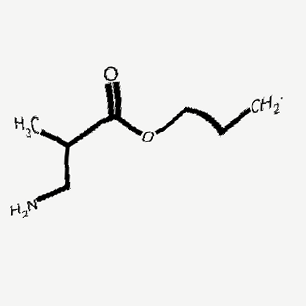 [CH2]CCOC(=O)C(C)CN